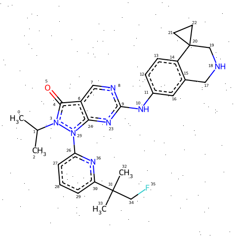 CC(C)n1c(=O)c2cnc(Nc3ccc4c(c3)CNCC43CC3)nc2n1-c1cccc(C(C)(C)CF)n1